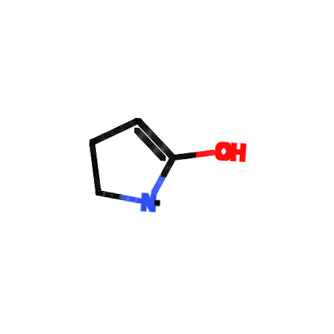 OC1=CCC[N]1